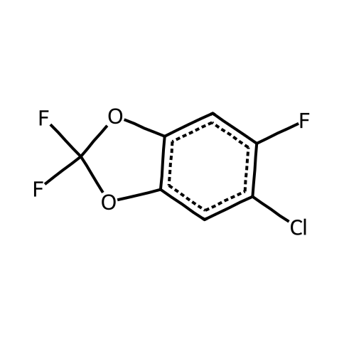 Fc1cc2c(cc1Cl)OC(F)(F)O2